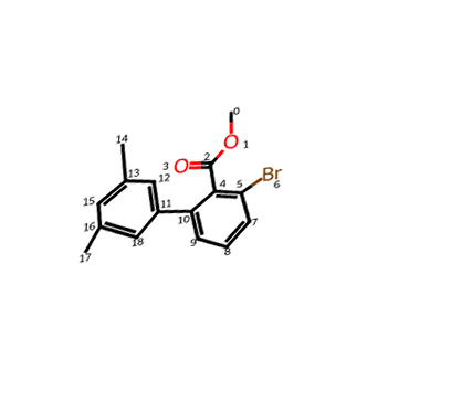 COC(=O)c1c(Br)cccc1-c1cc(C)cc(C)c1